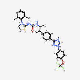 Cc1cccc(C)c1N1CCS/C1=N\C(=O)NC(C)C(C)c1ccc(-c2ncn(-c3ccc(OC(F)(F)F)cc3)n2)cc1